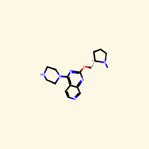 CN1CCC[C@H]1COc1nc(N2CCNCC2)c2ccncc2n1